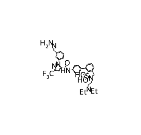 CCN(CC)CCN1Cc2cccc(-c3ccc(NC(=O)c4cc(C(F)(F)F)nn4-c4cccc(C=NN)c4)cc3)c2S1(O)O